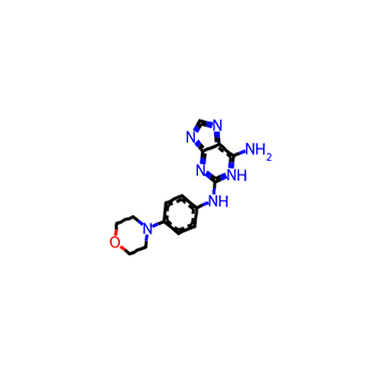 Nc1[nH]c(Nc2ccc(N3CCOCC3)cc2)nc2ncnc1-2